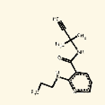 C#CC(C)(C)NC(=O)c1cccnc1NCCC(F)(F)F